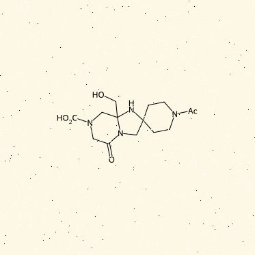 CC(=O)N1CCC2(CC1)CN1C(=O)CN(C(=O)O)CC1(CO)N2